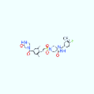 Cc1cc(C(=O)N2CCNC(=O)C2)cc(C)c1C=CS(=O)(=O)N1CCC2(CC1)N=C(c1ccc(F)c(C(F)(F)F)c1)NC2=O